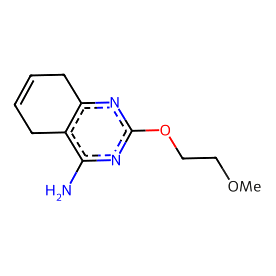 COCCOc1nc(N)c2c(n1)CC=CC2